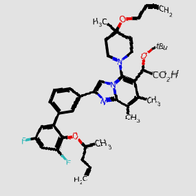 C=CCOC1(C)CCN(c2c(C(OC(C)(C)C)C(=O)O)c(C)c(C)c3nc(-c4cccc(-c5cc(F)cc(F)c5OC(C)CC=C)c4)cn23)CC1